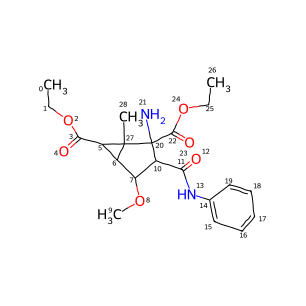 CCOC(=O)C1C2C(OC)C(C(=O)Nc3ccccc3)C(N)(C(=O)OCC)C12C